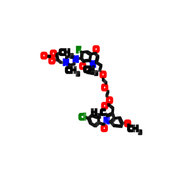 COc1ccc2c(c1)c(CC(=O)OCCOCCOCCc1cc(=O)c3cc(F)c(N4CCN(Cc5oc(=O)oc5C)C(C)C4)c(OC)c3n1C1CC1)c(C)n2C(=O)c1ccc(Cl)cc1